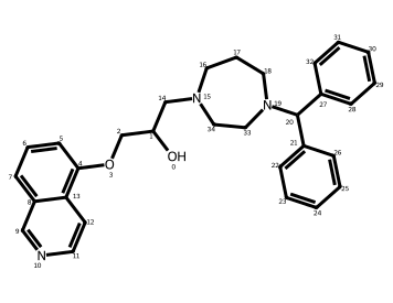 OC(COc1cccc2cnccc12)CN1CCCN(C(c2ccccc2)c2ccccc2)CC1